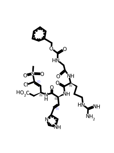 CS(=O)(=O)/C(Cl)=C/[C@H](CC(=O)O)NC(=O)[C@H](/C=C/c1c[nH]cn1)NC(=O)[C@H](CCCNC(=N)N)NC(=O)CNC(=O)OCc1ccccc1